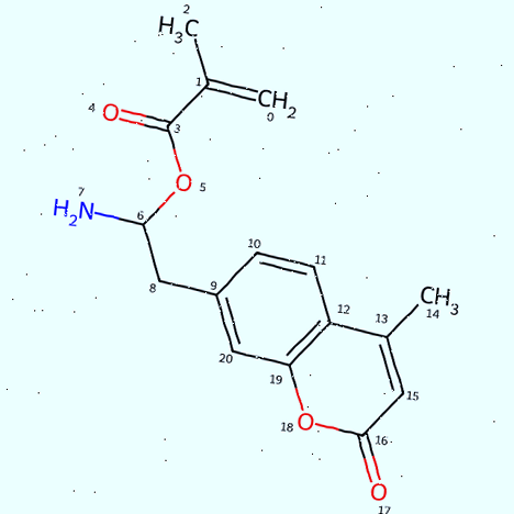 C=C(C)C(=O)OC(N)Cc1ccc2c(C)cc(=O)oc2c1